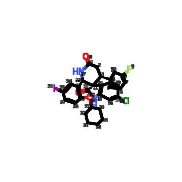 O=C1C[C@@H](C2C=CC=C(F)C2)[C@]2(C(=O)Nc3cc(Cl)ccc32)[C@@H](c2cc(I)ccc2OC2CCCCC2)N1